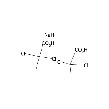 CC(Cl)(Cl)C(=O)O.CC(Cl)(Cl)C(=O)O.[NaH]